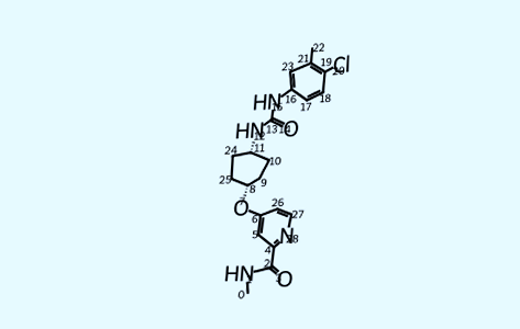 CNC(=O)c1cc(O[C@H]2CC[C@@H](NC(=O)Nc3ccc(Cl)c(C)c3)CC2)ccn1